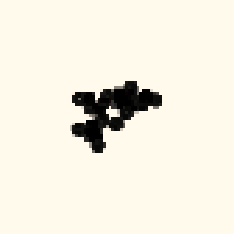 c1ccc(-c2nc(-c3ccccc3)nc(-c3cc(-c4cccc(-c5ccc(-n6c7ccccc7c7c8oc9ccccc9c8ccc76)c(-c6nc(-c7ccccc7)nc(-c7ccccc7)n6)c5)c4)cc(-n4c5ccccc5c5c6oc7ccccc7c6ccc54)c3)n2)cc1